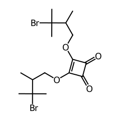 CC(COc1c(OCC(C)C(C)(C)Br)c(=O)c1=O)C(C)(C)Br